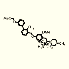 COCOc1cccc(-c2cccc(COc3cc(OC)c(CC(N4CCN(C)CC4)C(C)(C)N)c(OC)c3)c2C)c1